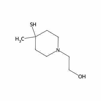 CC1(S)CCN(CCO)CC1